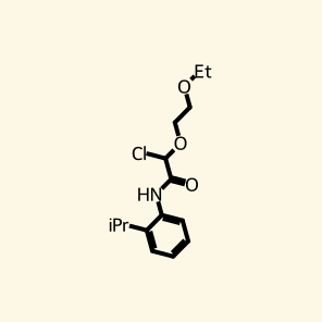 CCOCCOC(Cl)C(=O)Nc1ccccc1C(C)C